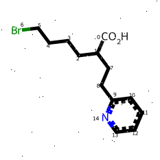 O=C(O)C(CCCCBr)CCc1ccccn1